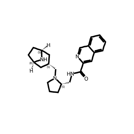 O=C(NC[C@@H]1CCCN1C[C@@H]1C[C@H]2CC[C@@H](C1)N2)c1cc2ccccc2cn1